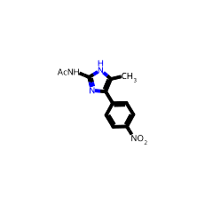 CC(=O)Nc1nc(-c2ccc([N+](=O)[O-])cc2)c(C)[nH]1